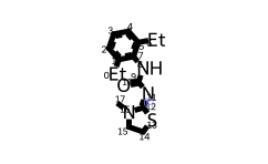 CCc1cccc(CC)c1NC(=O)/N=C1/SCCN1C